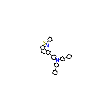 c1ccc(-c2ccc(N(c3ccc(-c4ccccc4)cc3)c3ccc(-c4ccc5c(ccc6ccc7sc(-c8ccccc8)nc7c65)c4)cc3)cc2)cc1